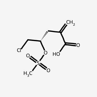 C=C(C[C@@H](CCl)OS(C)(=O)=O)C(=O)O